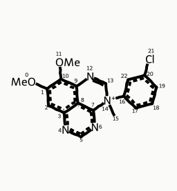 COc1cc2ncnc3c2c(c1OC)N=C[N+]3(C)c1cccc(Cl)c1